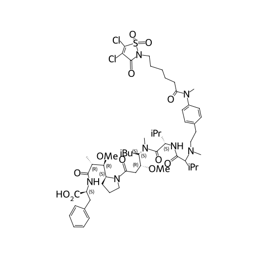 CC[C@H](C)[C@@H]([C@@H](CC(=O)N1CCC[C@H]1[C@H](OC)[C@@H](C)C(=O)N[C@@H](Cc1ccccc1)C(=O)O)OC)N(C)C(=O)[C@@H](NC(=O)C(C(C)C)N(C)CCc1ccc(N(C)C(=O)CCCCCN2C(=O)C(Cl)=C(Cl)S2(=O)=O)cc1)C(C)C